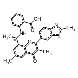 Cc1cc([C@@H](C)Nc2ccccc2C(=O)O)c2oc(-c3ccc4nc(C)sc4c3)c(C)c(=O)c2c1